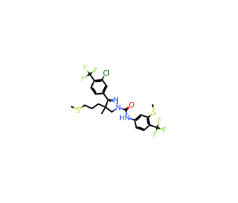 CSCCCC1(C)CN(C(=O)Nc2ccc(C(F)(F)F)c(SC)c2)N=C1c1ccc(C(F)(F)F)c(Cl)c1